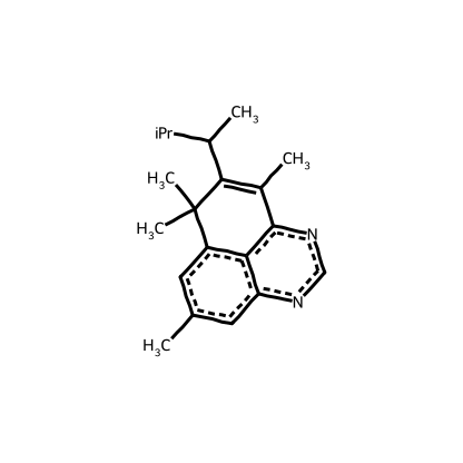 CC1=C(C(C)C(C)C)C(C)(C)c2cc(C)cc3ncnc1c23